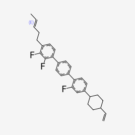 C=CC1CCC(c2ccc(-c3ccc(-c4ccc(CC/C=C/C)c(F)c4F)cc3)c(F)c2)CC1